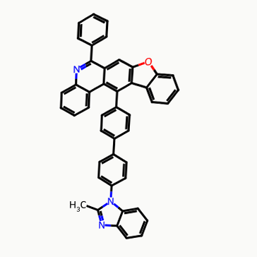 Cc1nc2ccccc2n1-c1ccc(-c2ccc(-c3c4c(cc5c(-c6ccccc6)nc6ccccc6c35)oc3ccccc34)cc2)cc1